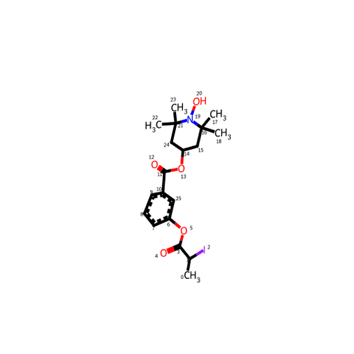 CC(I)C(=O)Oc1cccc(C(=O)OC2CC(C)(C)N(O)C(C)(C)C2)c1